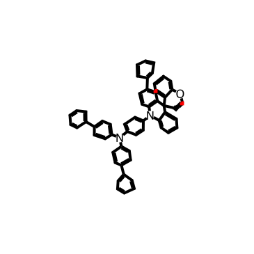 c1ccc(-c2ccc(N(c3ccc(-c4ccccc4)cc3)c3ccc(N4c5ccccc5C5(c6ccccc6Oc6ccccc65)c5cc(-c6ccccc6)ccc54)cc3)cc2)cc1